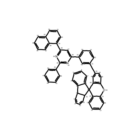 C1=CC2c3ccccc3C3(c4ccccc4Oc4ccc(-c5cccc(-c6cc(-c7cccc8ccccc78)nc(-c7ccccc7)n6)c5)cc43)C2C=C1